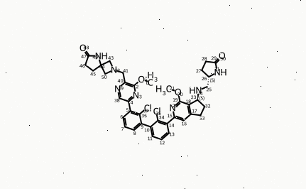 COc1nc(-c2cccc(-c3cccc(-c4cc5c(c(OC)n4)[C@@H](NC[C@@H]4CCC(=O)N4)CC5)c3Cl)c2Cl)cnc1CN1CC2(CCC(=O)N2)C1